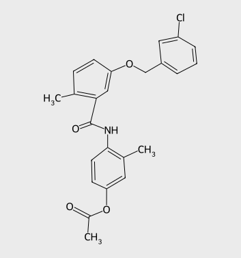 CC(=O)Oc1ccc(NC(=O)c2cc(OCc3cccc(Cl)c3)ccc2C)c(C)c1